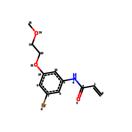 C=CC(=O)Nc1cc(Br)cc(OCCOC)c1